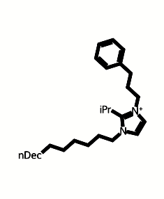 CCCCCCCCCCCCCCCCn1cc[n+](CCCc2ccccc2)c1C(C)C